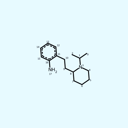 CC(C)N1CCCCC1CCc1ccccc1N